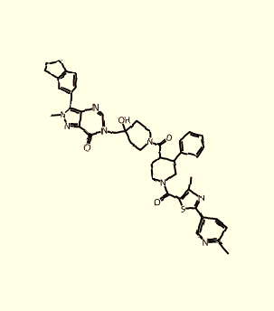 Cc1ccc(-c2nc(C)c(C(=O)N3CCC(C(=O)N4CCC(O)(Cn5cnc6c(-c7ccc8c(c7)CC[CH]8)n(C)nc6c5=O)CC4)C(c4ccccc4)C3)s2)cn1